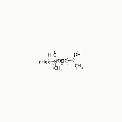 CC(O)C(=O)[O-].CCCCCC[N+](C)(C)C